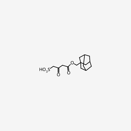 O=C(CC(=O)OCC12CC3CC(CC(C3)C1)C2)CS(=O)(=O)O